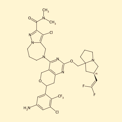 CN(C)C(=O)c1nn2c(c1Cl)CN(c1nc(OCC34CCCN3C[C@@H](C=C(F)F)C4)nc3c1COC(c1cc(N)cc(Cl)c1C(F)(F)F)C3)CCC2